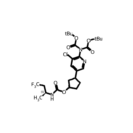 C[C@@H](CC(F)(F)F)NC(=O)OC1CCC(c2cnc(N(C(=O)OC(C)(C)C)C(=O)OC(C)(C)C)c(Cl)c2)C1